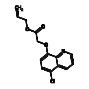 C=CCOC(=O)COc1ccc(Cl)c2cccnc12